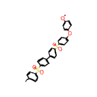 COc1ccc(Oc2ccc(S(=O)(=O)c3ccc(-c4ccc(S(=O)(=O)c5ccc(C)cc5)cc4)cc3)cc2)cc1